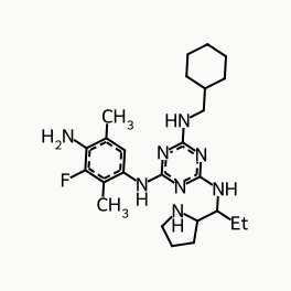 CCC(Nc1nc(NCC2CCCCC2)nc(Nc2cc(C)c(N)c(F)c2C)n1)C1CCCN1